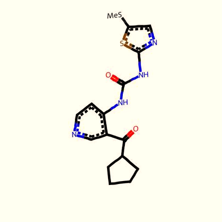 CSc1cnc(NC(=O)Nc2ccncc2C(=O)C2CCCC2)s1